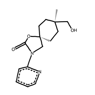 C[C@]1(CO)CC[C@]2(CC1)CN(c1ccccn1)C(=O)O2